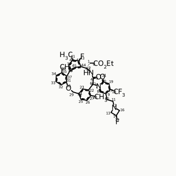 CCOC(=O)C[C@@H]1NC(=O)[C@@H](n2cc(CCN3CC(F)C3)c(C(F)(F)F)cc2=O)c2cc(ccc2C)COc2cccc(C)c2-c2cc(C)c(F)c1c2